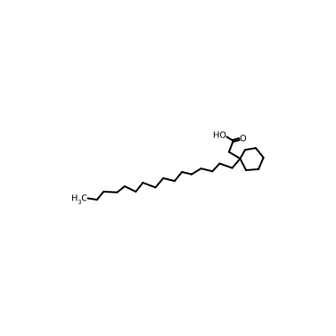 CCCCCCCCCCCCCCCCC1(CC(=O)O)CCCCC1